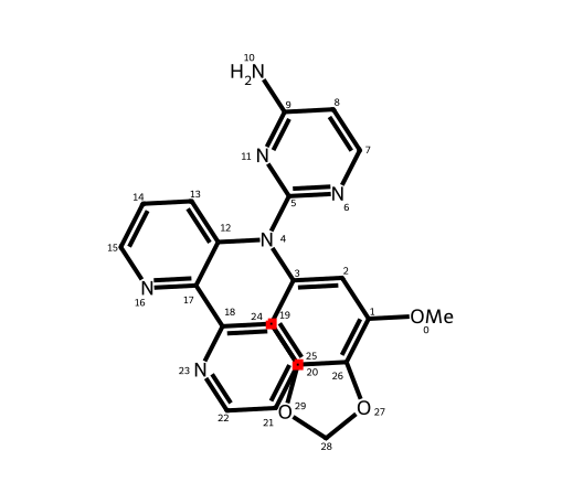 COc1cc(N(c2nccc(N)n2)c2cccnc2-c2ccccn2)cc2c1OCO2